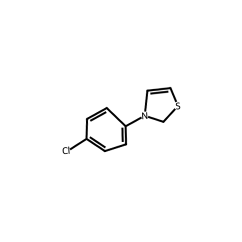 Clc1ccc(N2C=CSC2)cc1